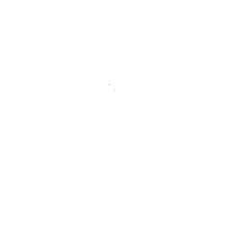 CN(C(=O)c1ccccc1)c1ccccc1C(=O)Oc1ccccc1